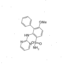 COc1ccc(S(N)(=O)=O)c(Nc2ncccn2)c1-c1ccccc1